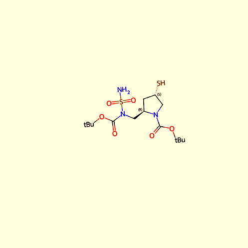 CC(C)(C)OC(=O)N1C[C@@H](S)C[C@@H]1CN(C(=O)OC(C)(C)C)S(N)(=O)=O